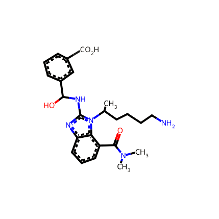 CC(CCCCN)n1c(NC(O)c2cccc(C(=O)O)c2)nc2cccc(C(=O)N(C)C)c21